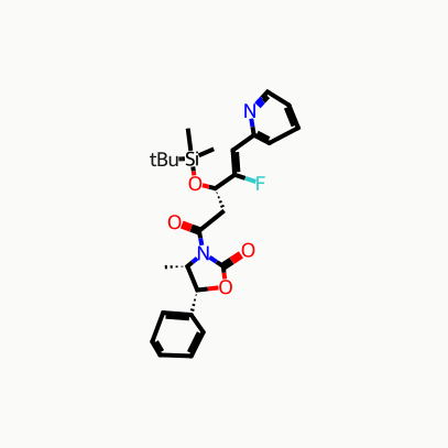 C[C@H]1[C@@H](c2ccccc2)OC(=O)N1C(=O)C[C@H](O[Si](C)(C)C(C)(C)C)/C(F)=C/c1ccccn1